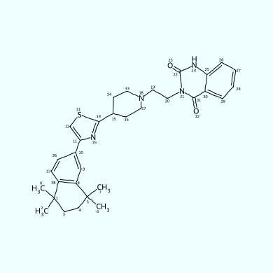 CC1(C)CCC(C)(C)c2cc(-c3csc(C4CCN(CCn5c(=O)[nH]c6ccccc6c5=O)CC4)n3)ccc21